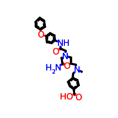 CN(CCCN(CC(N)=O)CC(=O)Nc1ccc(Oc2ccccc2)cc1)Cc1ccc(C(=O)O)cc1